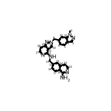 Cn1ncc2ccc(Cn3cc4c(NCc5ccc6c(N)nccc6c5)nccc4n3)cc21